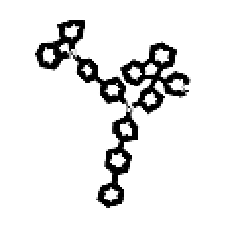 c1ccc(-c2ccc(-c3ccc(N(c4ccc(-c5ccc(-n6c7ccccc7c7ccccc76)cc5)cc4)c4cccc(C5(c6ccccc6)c6ccccc6-c6ccccc65)c4)cc3)cc2)cc1